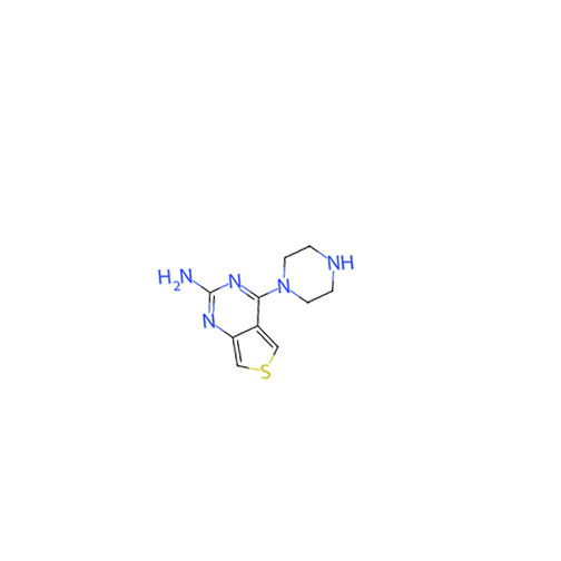 Nc1nc(N2CCNCC2)c2cscc2n1